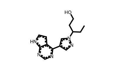 CCC(CCO)n1cc(-c2ncnc3[nH]ccc23)cn1